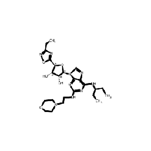 CCc1noc([C@H]2O[C@@H](n3cnc4c(NC(CC)CC)nc(NCCN5CCOCC5)nc43)[C@H](O)[C@@H]2O)n1